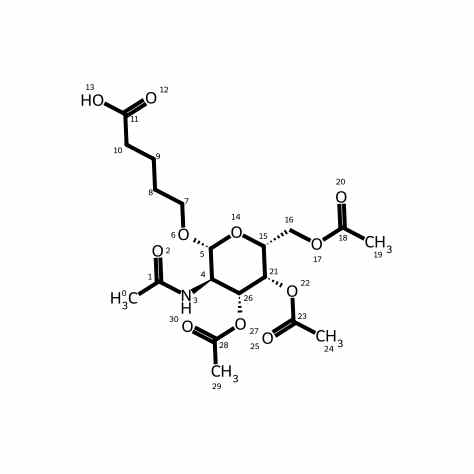 CC(=O)N[C@H]1[C@H](OCCCCC(=O)O)O[C@H](COC(C)=O)[C@H](OC(C)=O)[C@@H]1OC(C)=O